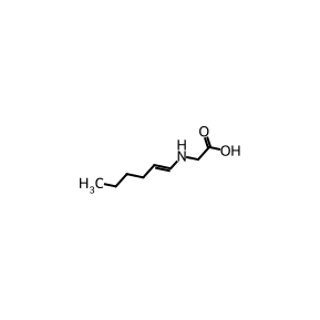 CCCC/C=C/NCC(=O)O